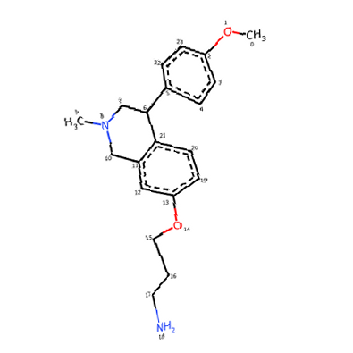 COc1ccc(C2CN(C)Cc3cc(OCCCN)ccc32)cc1